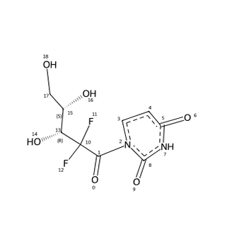 O=C(n1ccc(=O)[nH]c1=O)C(F)(F)[C@H](O)[C@@H](O)CO